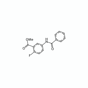 COC(=O)c1cc(NC(=O)c2ccccc2)ccc1F